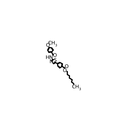 CCCCCCCCOC(=O)c1ccc(-c2cnc(NC(=O)c3ccc(OC)cc3)s2)cc1